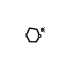 C1CSCCO1.[B]